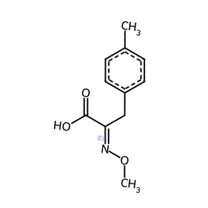 CO/N=C(\Cc1ccc(C)cc1)C(=O)O